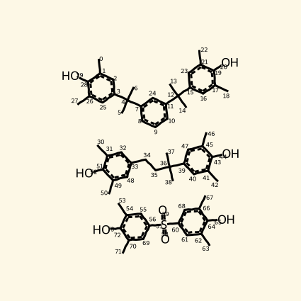 Cc1cc(C(C)(C)c2cccc(C(C)(C)c3cc(C)c(O)c(C)c3)c2)cc(C)c1O.Cc1cc(CCC(C)(C)c2cc(C)c(O)c(C)c2)cc(C)c1O.Cc1cc(S(=O)(=O)c2cc(C)c(O)c(C)c2)cc(C)c1O